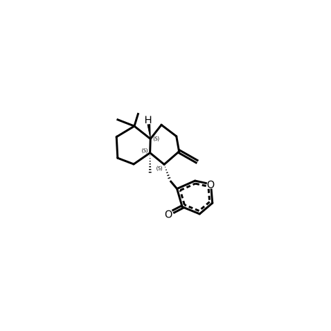 C=C1CC[C@H]2C(C)(C)CCC[C@]2(C)[C@H]1Cc1coccc1=O